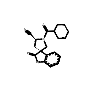 N#C[C@@H]1C[C@@]2(CN1C(=O)C1CCCCC1)C(=O)Nc1ccccc12